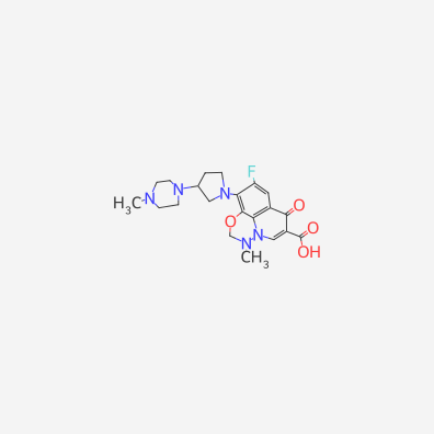 CN1CCN(C2CCN(c3c(F)cc4c(=O)c(C(=O)O)cn5c4c3OCN5C)C2)CC1